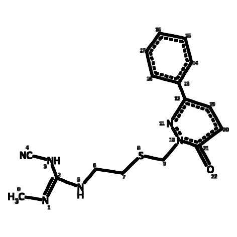 CN=C(NC#N)NCCSCn1nc(-c2ccccc2)ccc1=O